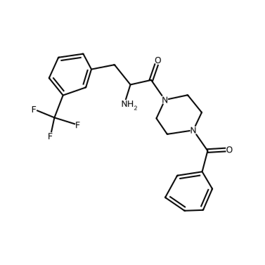 NC(Cc1cccc(C(F)(F)F)c1)C(=O)N1CCN(C(=O)c2ccccc2)CC1